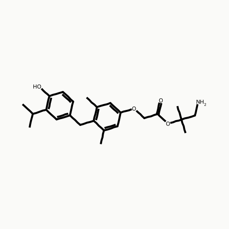 Cc1cc(OCC(=O)OC(C)(C)CN)cc(C)c1Cc1ccc(O)c(C(C)C)c1